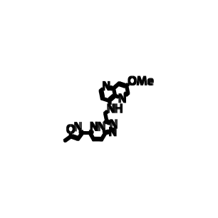 COc1cnc2c(NCc3nnc4ccc(-c5cc(C)on5)nn34)ccnc2c1